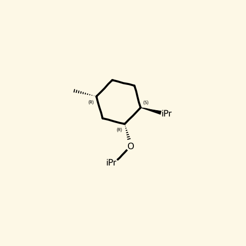 CC(C)O[C@@H]1C[C@H](C)CC[C@H]1C(C)C